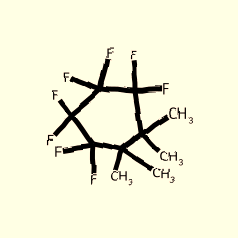 CC1(C)C(C)(C)C(F)(F)C(F)(F)C(F)(F)C1(F)F